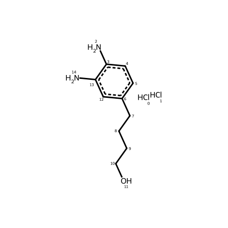 Cl.Cl.Nc1ccc(CCCCO)cc1N